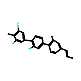 CC=Cc1ccc(-c2ccc(-c3cc(F)c(C)c(F)c3)c(F)c2)c(C)c1